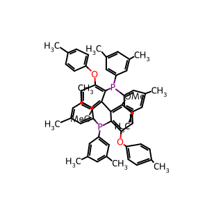 COc1ccc(Oc2ccc(C)cc2)c(P(c2cc(C)cc(C)c2)c2cc(C)cc(C)c2)c1-c1c(OC)ccc(Oc2ccc(C)cc2)c1P(c1cc(C)cc(C)c1)c1cc(C)cc(C)c1